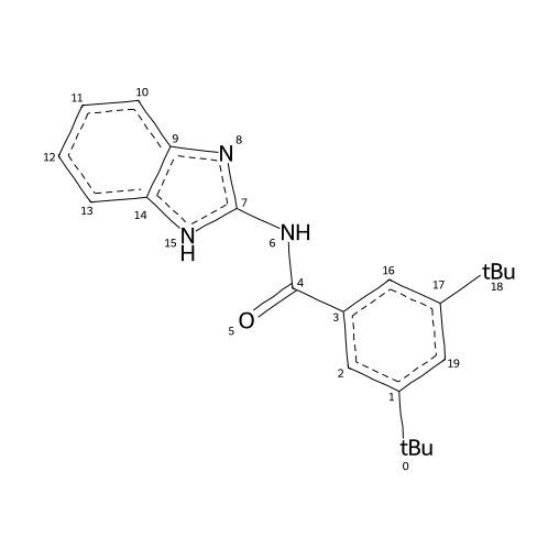 CC(C)(C)c1cc(C(=O)Nc2nc3ccccc3[nH]2)cc(C(C)(C)C)c1